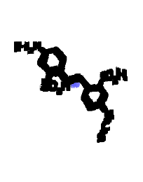 Nc1ccc(/C=C/c2ccc(N=C=S)cc2S(=O)(=O)O)c(S(=O)(=O)O)c1